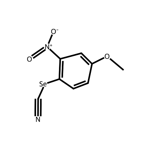 COc1ccc([Se]C#N)c([N+](=O)[O-])c1